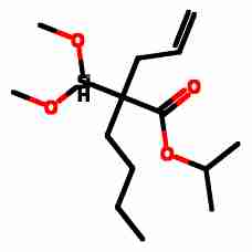 C=CCC(CCCC)(C(=O)OC(C)C)[SiH](OC)OC